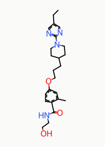 CCc1cnc(N2CCC(CCCOc3ccc(C(=O)NCCO)c(C)c3)CC2)nc1